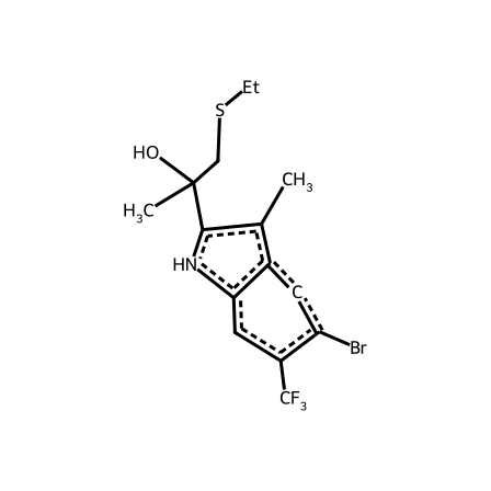 CCSCC(C)(O)c1[nH]c2cc(C(F)(F)F)c(Br)cc2c1C